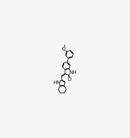 COc1cccc(-c2ccc3c(c2)NC(=O)C3=Cc2cc3c([nH]2)CCCC3)c1